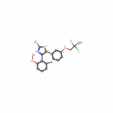 Cc1cccc(OC(C)C)c1-c1nc(Br)sc1-c1cccc(OCC(F)(F)C(C)(C)C)c1